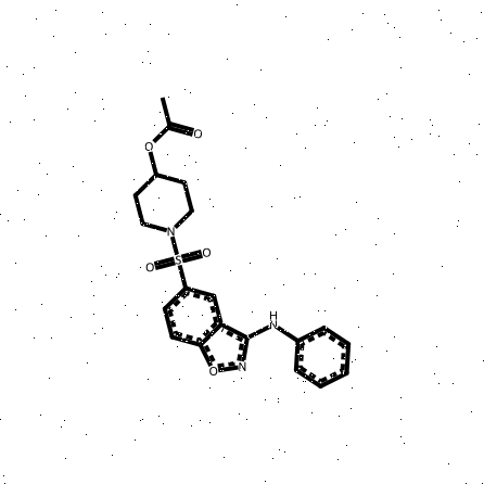 CC(=O)OC1CCN(S(=O)(=O)c2ccc3onc(Nc4ccccc4)c3c2)CC1